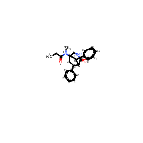 CN(C(=O)CC#N)C12CNC(=O)C(C(c3ccccc3)C1)C(c1ccccc1)C2